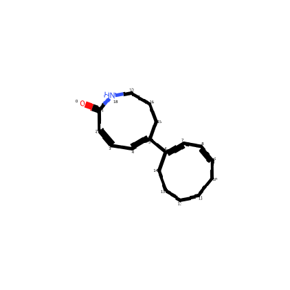 O=C1C=CC=C(C2=CC=CCCCCC2)CCCN1